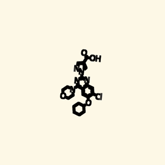 O=C(O)c1cnn(-c2nc(N3CCOCC3)c3cc(OC4CCCCC4)c(Cl)cc3n2)c1